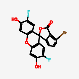 O=C1OC2(c3cc(F)c(O)cc3Oc3cc(O)c(F)cc32)c2cccc(Br)c21